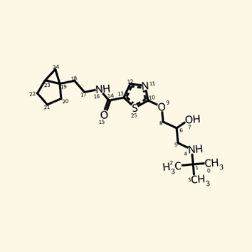 CC(C)(C)NCC(O)COc1ncc(C(=O)NCCC23CCCC2C3)s1